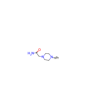 CCCN1CCN(CC(N)=O)CC1